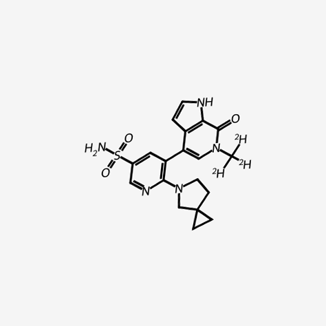 [2H]C([2H])([2H])n1cc(-c2cc(S(N)(=O)=O)cnc2N2CCC3(CC3)C2)c2cc[nH]c2c1=O